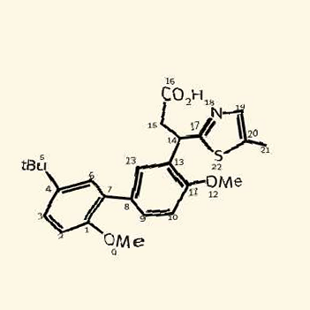 COc1ccc(C(C)(C)C)cc1-c1ccc(OC)c(C(CC(=O)O)c2ncc(C)s2)c1